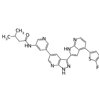 CC(C)CC(=O)Nc1cncc(-c2cnc3[nH]nc(-c4cc5c(-c6ccc(F)s6)ccnc5[nH]4)c3c2)c1